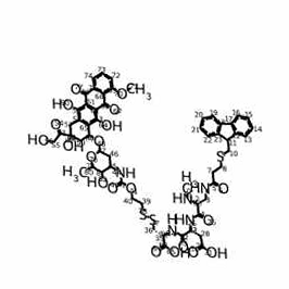 CN[C@@H](CNC(=O)CCSCC1c2ccccc2-c2ccccc21)C(=O)N[C@@H](CC(=O)O)C(=O)N[C@@H](CSSCCOC(=O)NC1CC(O[C@H]2C[C@](O)(C(=O)CO)Cc3c(O)c4c(c(O)c32)C(=O)c2c(OC)cccc2C4=O)OC(C)C1O)C(=O)O